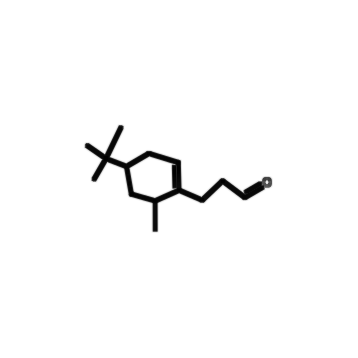 CC1CC(C(C)(C)C)CC=C1CCC=O